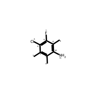 Cc1c(C)c(Cl)c(F)c(C)c1N